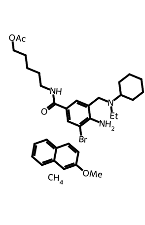 C.CCN(Cc1cc(C(=O)NCCCCCOC(C)=O)cc(Br)c1N)C1CCCCC1.COc1ccc2ccccc2c1